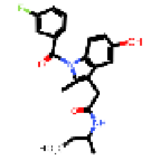 Cc1c(CC(=O)NC(C)CC(=O)O)c2cc(O)ccc2n1C(=O)c1cccc(F)c1